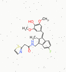 COc1cc(C=C2C(C)=C(CNC(=O)Cc3nccs3)c3cc(F)ccc32)cc(OC)c1O